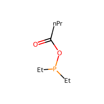 CCCC(=O)OP(CC)CC